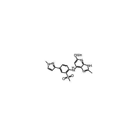 COc1cc(Nc2ccc(-c3ccn(C)n3)cc2S(C)(=O)=O)c2nc(C)[nH]c2n1